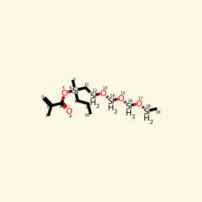 C=C(C)C(=O)O[Si](C)(CCC)C[SiH2]O[SiH2]O[SiH2]O[SiH2]C